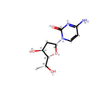 C[C@@H](O)[C@H]1O[C@@H](n2ccc(N)nc2=O)C[C@@H]1O